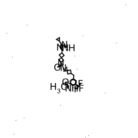 CS(=N)(=O)c1cc(CC2CC3(C2)CN(C(=O)N2CC4(CC(c5nc(C6CC6)n[nH]5)C4)C2)C3)cc(C(F)(F)F)c1